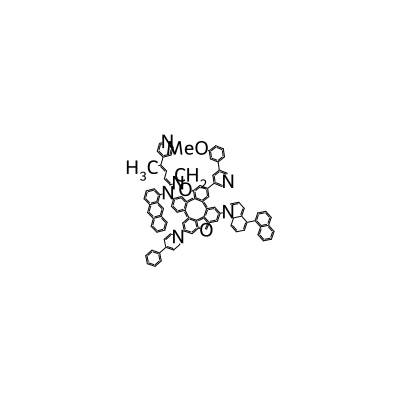 C=N/C(=C\C=C(/C)c1ccncc1)N(c1cccc2cc3ccccc3cc12)c1ccc2c3cc(N4C=CC(c5ccccc5)=CC4)cc4oc5cc(N6C=CC=C7C(c8cccc9ccccc89)=CC=CC76)cc(c6cc(-c7cncc(-c8cccc(OC)c8)c7)cc7oc1c2c76)c5c43